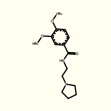 CCCCOc1ccc(C(=O)NCCN2CCCC2)cc1OCCCC